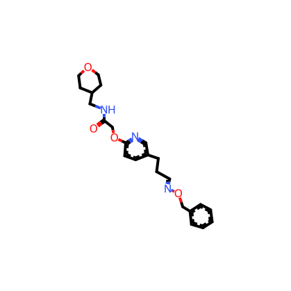 O=C(COc1ccc(CCC=NOCc2ccccc2)cn1)NCC1CCOCC1